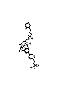 CN(CC(O)CNC(C)(C)CCCc1ccccc1F)S(=O)(=O)c1c(Cl)cc(-c2ccc(CCC(=O)O)nc2)cc1Cl